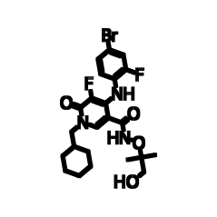 CC(C)(CO)ONC(=O)c1cn(CC2CCCCC2)c(=O)c(F)c1Nc1ccc(Br)cc1F